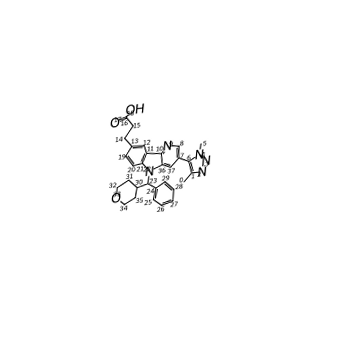 Cc1nnn(C)c1-c1cnc2c3cc(CCC(=O)O)ccc3n(C(c3ccccc3)C3CCOCC3)c2c1